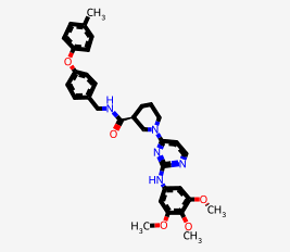 COc1cc(Nc2nccc(N3CCC[C@H](C(=O)NCc4ccc(Oc5ccc(C)cc5)cc4)C3)n2)cc(OC)c1OC